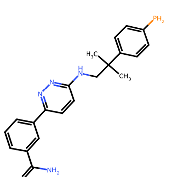 C=C(N)c1cccc(-c2ccc(NCC(C)(C)c3ccc(P)cc3)nn2)c1